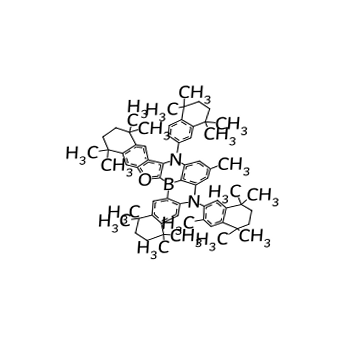 Cc1cc2c3c(c1)N(c1ccc4c(c1)C(C)(C)CCC4(C)C)c1c(oc4cc5c(cc14)C(C)(C)CCC5(C)C)B3c1cc3c(cc1N2c1cc2c(cc1C)C(C)(C)CCC2(C)C)C(C)(C)CCC3(C)C